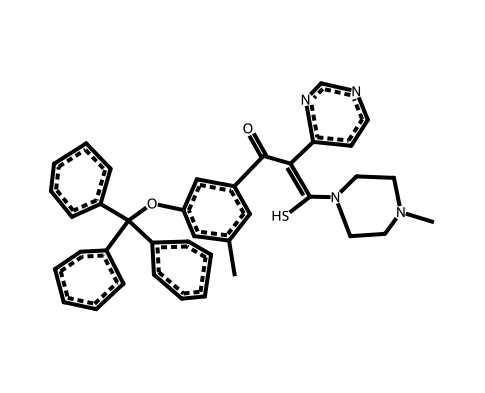 Cc1cc(OC(c2ccccc2)(c2ccccc2)c2ccccc2)cc(C(=O)C(=C(S)N2CCN(C)CC2)c2ccncn2)c1